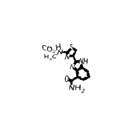 CN(C(=O)O)c1nc(-c2nc3c(C(N)=O)cccc3[nH]2)cs1